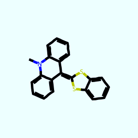 CN1c2ccccc2C(=C2Sc3ccccc3S2)c2ccccc21